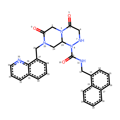 O=C1CN2C(=O)CNN(C(=O)NCc3cccc4ccccc34)C2CN1Cc1cccc2cccnc12